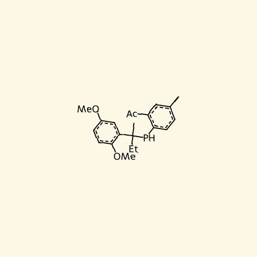 CCC(C)(Pc1ccc(C)cc1C(C)=O)c1cc(OC)ccc1OC